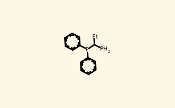 CCC(P)P(c1ccccc1)c1ccccc1